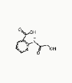 O=C(CO)Nc1ccccc1C(=O)O